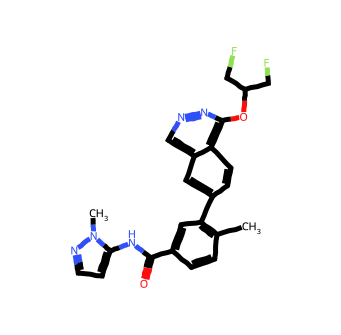 Cc1ccc(C(=O)Nc2ccnn2C)cc1-c1ccc2c(OC(CF)CF)nncc2c1